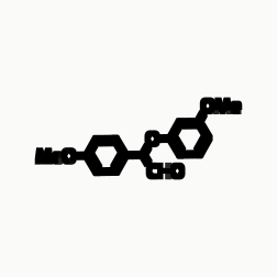 COc1ccc(C(C=O)Oc2cccc(OC)c2)cc1